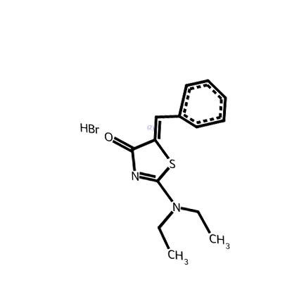 Br.CCN(CC)C1=NC(=O)/C(=C/c2ccccc2)S1